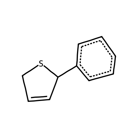 C1=CC(c2ccccc2)SC1